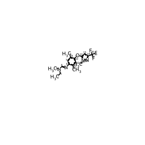 CCN(C)C=Nc1cc(C)c(Oc2cc(C(F)(F)F)nn2C)cc1C